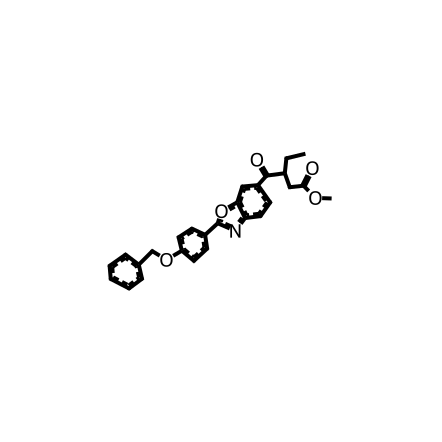 CCC(CC(=O)OC)C(=O)c1ccc2nc(-c3ccc(OCc4ccccc4)cc3)oc2c1